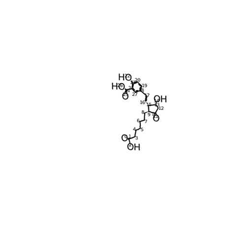 O=C(O)CCCCCC[C@@H]1C(=O)C[C@H](O)[C@H]1C=Cc1ccc(O)c(C(=O)O)c1